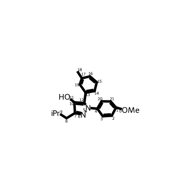 COc1ccc(-n2nc(CC(C)C)c(O)c2-c2cccc(C)c2)cc1